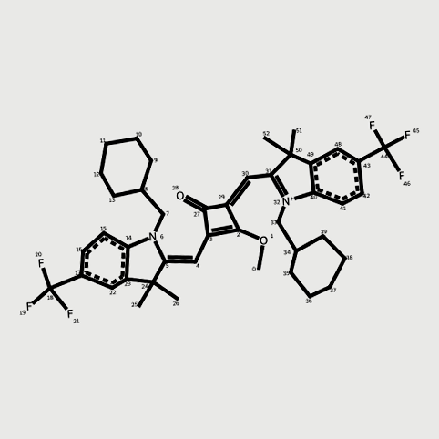 COC1=C(/C=C2\N(CC3CCCCC3)c3ccc(C(F)(F)F)cc3C2(C)C)C(=O)/C1=C/C1=[N+](CC2CCCCC2)c2ccc(C(F)(F)F)cc2C1(C)C